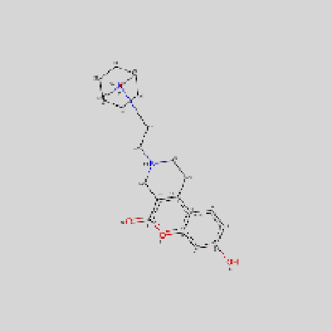 O=c1oc2cc(O)ccc2c2c1CN(CCN1CC3CCC(CC3)C1)CC2